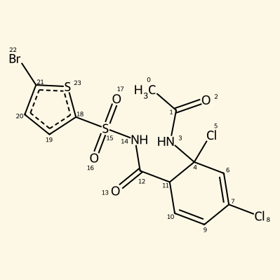 CC(=O)NC1(Cl)C=C(Cl)C=CC1C(=O)NS(=O)(=O)c1ccc(Br)s1